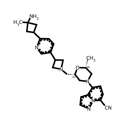 C[C@@H]1CN(c2ccc(C#N)n3nccc23)C[C@H](CN2CC(c3ccc(C4CC(C)(N)C4)nc3)C2)O1